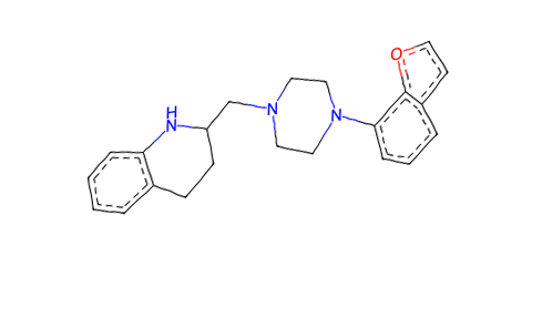 c1ccc2c(c1)CCC(CN1CCN(c3cccc4ccoc34)CC1)N2